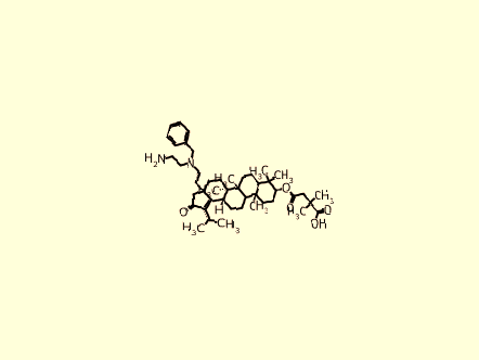 CC(C)C1=C2[C@H]3CCC4[C@@]5(C)CC[C@H](OC(=O)CC(C)(C)C(=O)O)C(C)(C)C5CC[C@@]4(C)[C@]3(C)CC[C@@]2(CCN(CCN)Cc2ccccc2)CC1=O